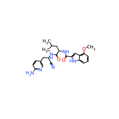 COc1cccc2[nH]c(C(=O)NC(CC(C)C)C(=O)NC(C#N)Cc3ccc(N)nc3)cc12